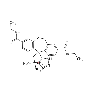 CCNC(=O)c1ccc2c(c1)CCc1cc(C(=O)NCC)ccc1C2(CC(C)(C)N)c1nnn[nH]1